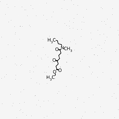 CCCCN(C)C(=O)CCCC(=O)CCC(=O)OCC